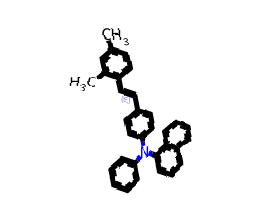 Cc1ccc(/C=C/c2ccc(N(c3ccccc3)c3cccc4ccccc34)cc2)c(C)c1